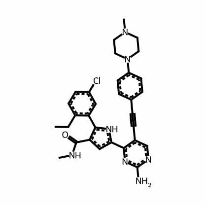 CCc1ccc(Cl)cc1-c1[nH]c(-c2nc(N)ncc2C#Cc2ccc(N3CCN(C)CC3)cc2)cc1C(=O)NC